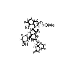 CCc1c(F)ccc2cc(OCOC)cc(-c3ncc4c(N5CCCC(O)C5)nc(OC[C@@]56CCCN5C[C@H](F)C6)nc4c3F)c12